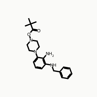 CC(C)(C)C(=O)ON1CCN(c2cccc(NCc3ccccc3)c2N)CC1